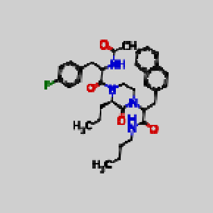 CCCCNC(=O)C(Cc1ccc2ccccc2c1)N1CCN(C(=O)C(Cc2ccc(F)cc2)NC(C)=O)[C@H](CCC)C1=O